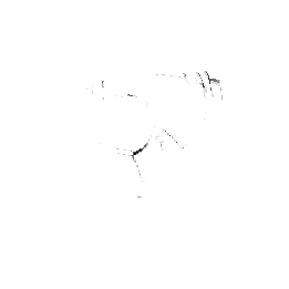 C[C@H]1CNCC[C@H]1C(=O)O